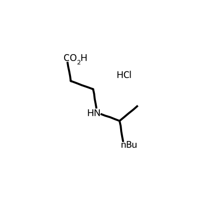 CCCCC(C)NCCC(=O)O.Cl